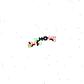 C=C(Cl)/C(OCC(CCl)OC(C)=O)=C(Cl)\C=C(/C)C(C)(C)c1ccc(OCC(O)COC)cc1